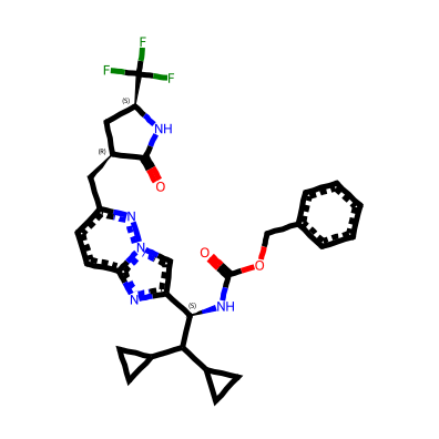 O=C(N[C@H](c1cn2nc(C[C@H]3C[C@@H](C(F)(F)F)NC3=O)ccc2n1)C(C1CC1)C1CC1)OCc1ccccc1